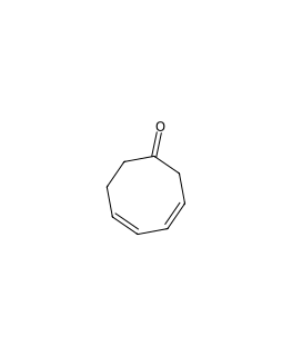 O=C1CC=CC=CCC1